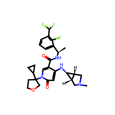 C[C@@H](NC(=O)c1cn(C2(C3CC3)CCOC2)c(=O)cc1N[C@H]1[C@@H]2CN(C)C[C@@H]21)c1cccc(C(F)F)c1F